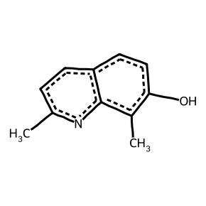 Cc1ccc2ccc(O)c(C)c2n1